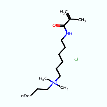 C=C(C)C(=O)NCCCCCC[N+](C)(C)CCCCCCCCCCCC.[Cl-]